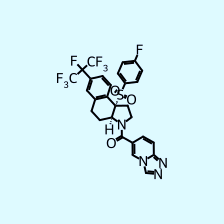 O=C(c1ccc2nncn2c1)N1CC[C@]2(S(=O)(=O)c3ccc(F)cc3)c3ccc(C(F)(C(F)(F)F)C(F)(F)F)cc3CC[C@H]12